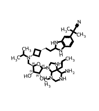 CCCC12NCN([C@@H]3O[C@H](CN(C(C)C)[C@H]4C[C@@H](CCC5Nc6ccc(C(C)(C)C#N)cc6N5)C4)[C@@H](O)[C@H]3O)C1N(C)CNC2N